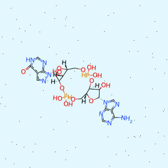 Nc1ncnc2c1ncn2[C@@H]1O[C@@H]2CO[PH](O)(O)O[C@@H]3[C@H](O)[C@@H](CO[PH](O)(O)O[C@H]2[C@H]1O)O[C@H]3n1ncc2c(=O)[nH]cnc21